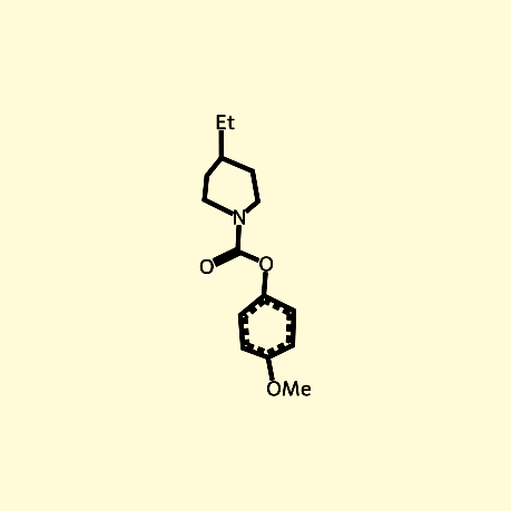 CCC1CCN(C(=O)Oc2ccc(OC)cc2)CC1